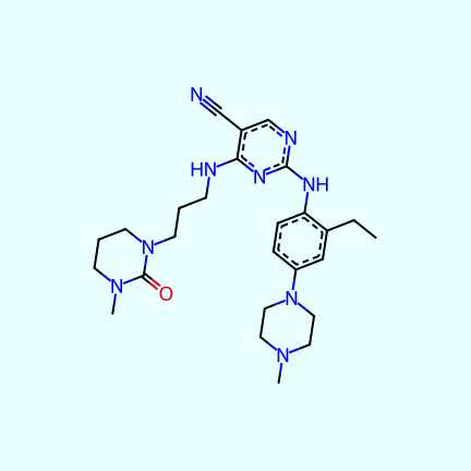 CCc1cc(N2CCN(C)CC2)ccc1Nc1ncc(C#N)c(NCCCN2CCCN(C)C2=O)n1